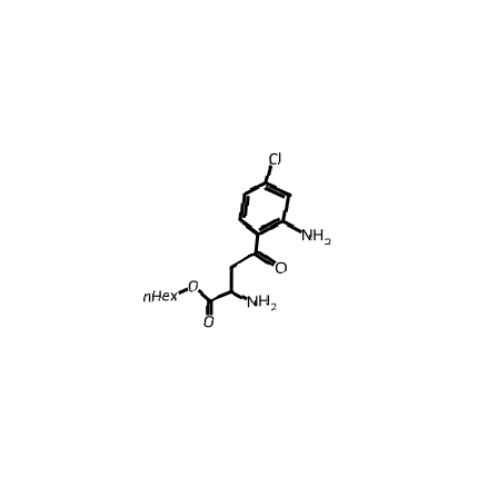 CCCCCCOC(=O)C(N)CC(=O)c1ccc(Cl)cc1N